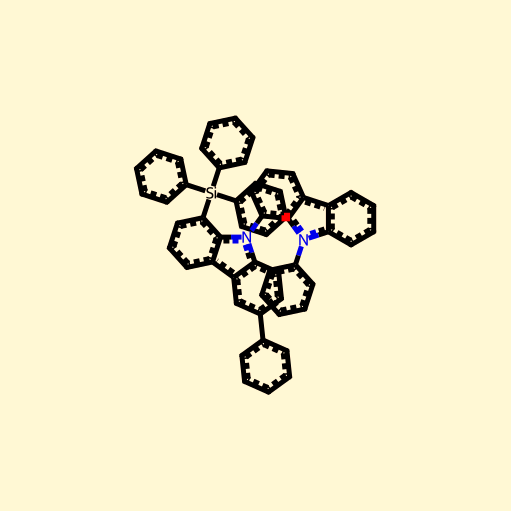 c1ccc(-c2ccc3c(c2)c2cccc([Si](c4ccccc4)(c4ccccc4)c4ccccc4)c2n3-c2cccc3c4ccccc4n(-c4ccccc4)c23)cc1